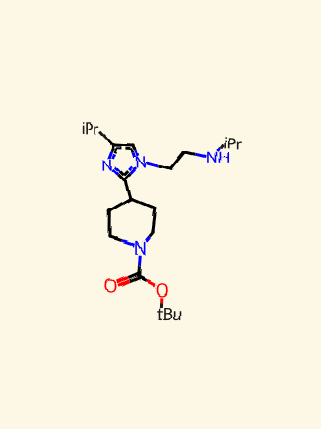 CC(C)NCCn1cc(C(C)C)nc1C1CCN(C(=O)OC(C)(C)C)CC1